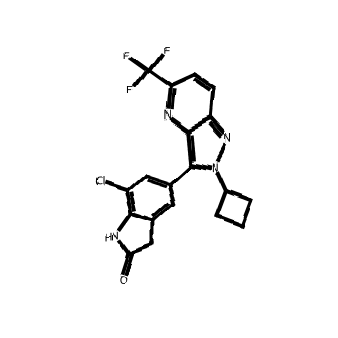 O=C1Cc2cc(-c3c4nc(C(F)(F)F)ccc4nn3C3CCC3)cc(Cl)c2N1